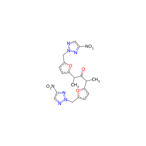 CC(C(=O)C(C)c1ccc(Cn2ncc([N+](=O)[O-])n2)o1)c1ccc(Cn2ncc([N+](=O)[O-])n2)o1